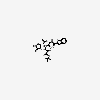 CC(C)C[C@H](NC(=O)c1cc2ccccc2o1)C(=O)N[C@@H](C[C@@H]1CCNC1=O)C(=O)C(=O)NC(C)(C)C